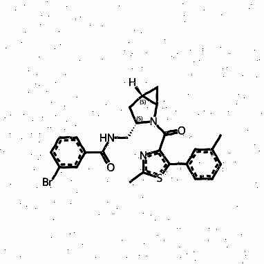 Cc1cccc(-c2sc(C)nc2C(=O)N2C3C[C@H]3C[C@H]2CNC(=O)c2cccc(Br)c2)c1